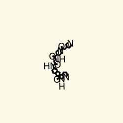 O=C(CNC(=O)C1CCN(C(=O)Cc2ccncc2)CC1)Nc1ccc2c(c1)CC1(C2)C(=O)Nc2ncccc21